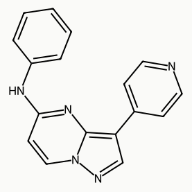 c1ccc(Nc2ccn3ncc(-c4ccncc4)c3n2)cc1